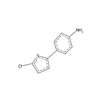 Nc1[c]cc(-c2ccc(Cl)s2)cc1